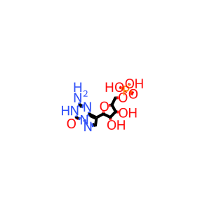 Nc1nc2c(C3OC(COP(=O)(O)O)C(O)C3O)cnn2c(=O)[nH]1